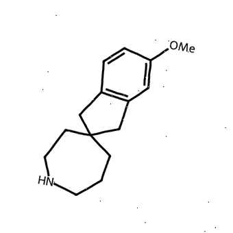 COc1ccc2c(c1)CC1(CCCNCC1)C2